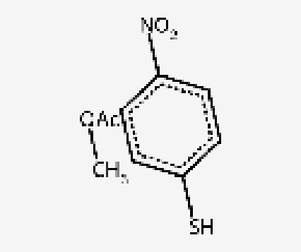 COC(C)=O.O=[N+]([O-])c1ccc(S)cc1